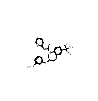 COc1cccc(OC2CCc3cc(C(O)(C(F)(F)F)C(F)(F)F)ccc3N(C(=O)Cc3ccccn3)C2)c1